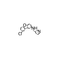 Clc1ccc2oc3ccc(NCc4cccnc4)cc3c2c1